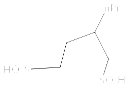 CCCC(CCS(=O)(=O)O)CS(=O)(=O)O